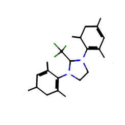 CC1=CC(C)=C(N2CCN(C3=C(C)CC(C)C=C3C)C2C(Cl)(Cl)Cl)C(C)C1